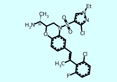 CCn1cc(S(=O)(=O)N2CC([C@@H](C)N)Oc3ccc(C=C(C)c4c(F)cccc4Cl)cc32)c(Cl)n1